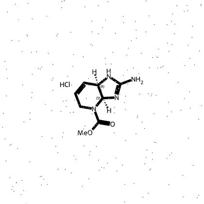 COC(=O)N1CC=C[C@H]2NC(N)=N[C@H]21.Cl